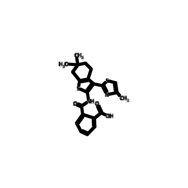 Cc1csc(-c2c(NC(=O)c3ccccc3C(=O)O)sc3c2CCC(C)(C)C3)n1